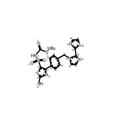 CCCCOC(=O)NS(=O)(=O)c1sc(CCC)nc1-c1ccc(Cn2ccnc2-c2nccs2)cc1